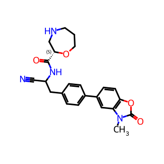 Cn1c(=O)oc2ccc(-c3ccc(CC(C#N)NC(=O)[C@@H]4CNCCCO4)cc3)cc21